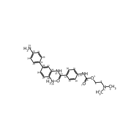 CN(C)CCOC(=O)Nc1ccc(C(=O)Nc2cc(-c3ccc(N)cc3)ccc2N)cc1